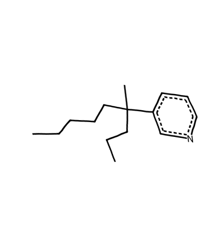 CCCCCC(C)(CCC)c1cccnc1